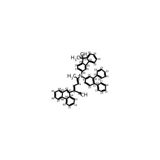 C#C/C(=C\C=C(/C)N(c1ccc(-c2ccccc2)c(-c2ccccc2)c1)c1ccc2c(c1)-c1ccccc1C2(C)C)c1cc2ccccc2c2ccccc12